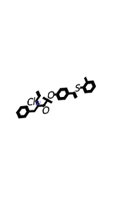 C=C/C=C(/Cc1ccccc1Cl)C(=O)C(C)(C)Oc1ccc(C(=C)Sc2ccccc2C)cc1